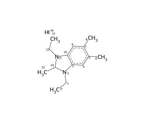 CCN1c2cc(C)c(C)cc2N(CC)C1C.I